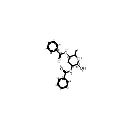 CC1O[C@@H](O)C(OC(=O)c2ccccc2)C[C@H]1OC(=O)c1ccccc1